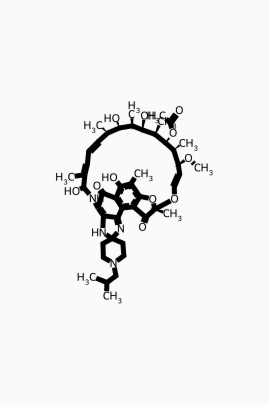 CO[C@H]1/C=C/O[C@@]2(C)Oc3c(C)c(O)c4c(c3C2=O)C2=NC3(CCN(CC(C)C)CC3)NC2=C(NC(O)/C(C)=C/C=C/[C@H](C)[C@H](O)[C@@H](C)[C@@H](O)[C@@H](C)[C@H](OC(C)=O)[C@@H]1C)C4=O